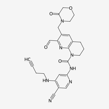 C#CCCNc1cc(NC(=O)N2CCCc3cc(CN4CCOCC4=O)c(C=O)nc32)ncc1C#N